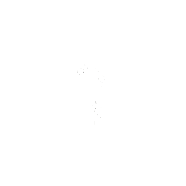 CC(C)[C@H](NC(=O)CCCCCOc1ccc(C(=O)N2CCC(N3C(=O)CCc4ccccc43)CC2)cc1)C(N)=O